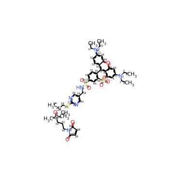 CCN(CC)c1ccc2c(-c3ccc(S(=O)(=O)NCc4cnc(SC[Si](C)(C)O[Si](C)(C)CCCN5C(=O)C=CC5=O)nc4)cc3S(=O)(=O)[O-])c3ccc(=[N+](CC)CC)cc-3oc2c1